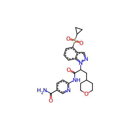 NC(=O)c1ccc(NC(=O)C(CC2CCOCC2)n2ncc3c(S(=O)(=O)C4CC4)cccc32)nc1